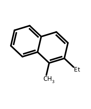 [CH2]Cc1ccc2ccccc2c1C